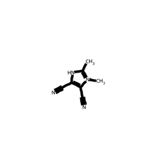 Cc1[nH]c(C#N)c(C#N)[n+]1C